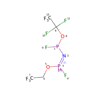 FP(/N=[PH](/F)OCC(F)(F)F)OC(F)(F)C(F)(F)F